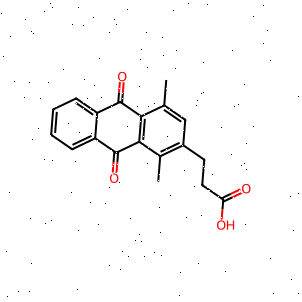 Cc1cc(CCC(=O)O)c(C)c2c1C(=O)c1ccccc1C2=O